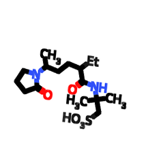 CCC(CCC(C)N1CCCC1=O)C(=O)NC(C)(C)CS(=O)(=O)O